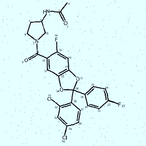 CC(=O)NC1CCN(C(=O)c2cc3c(cc2F)OC(c2ccc(F)cc2)(c2ccc(Cl)cc2Cl)O3)C1